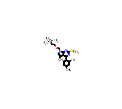 CSc1nc(-c2ccc(C)cc2C)c2c(C)cn(COCC[Si](C)(C)C)c2n1